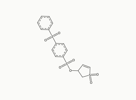 O=S1(=O)C=CC(OS(=O)(=O)c2ccc(S(=O)(=O)c3ccccc3)cc2)C1